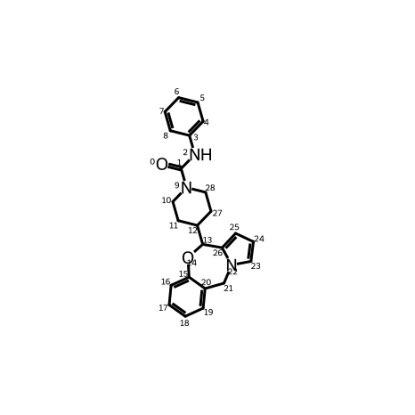 O=C(Nc1ccccc1)N1CCC(C2Oc3ccccc3Cn3cccc32)CC1